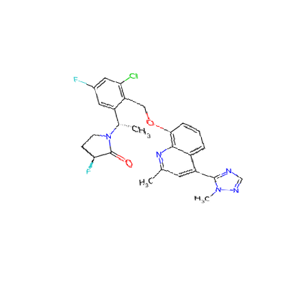 Cc1cc(-c2ncnn2C)c2cccc(OCc3c(Cl)cc(F)cc3[C@H](C)N3CC[C@H](F)C3=O)c2n1